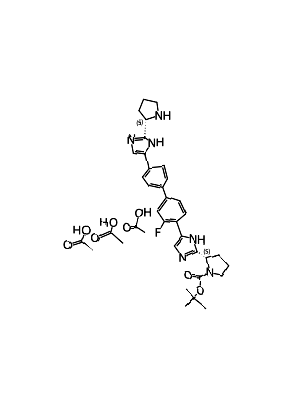 CC(=O)O.CC(=O)O.CC(=O)O.CC(C)(C)OC(=O)N1CCC[C@H]1c1ncc(-c2ccc(-c3ccc(-c4cnc([C@@H]5CCCN5)[nH]4)cc3)cc2F)[nH]1